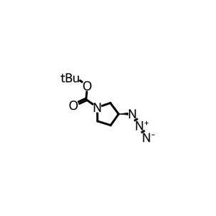 CC(C)(C)OC(=O)N1CC[C@H](N=[N+]=[N-])C1